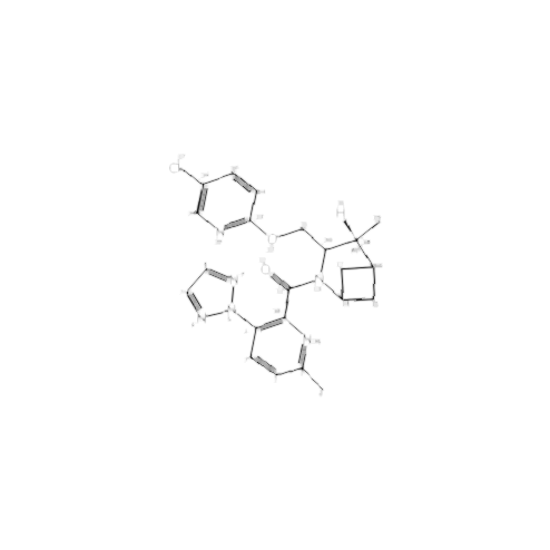 Cc1ccc(-n2nccn2)c(C(=O)N2C3CC(C3)[C@@H](C)C2COc2ccc(Cl)cn2)n1